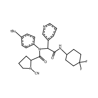 CC(C)(C)c1ccc(N(C(=O)C2CCCN2C#N)C(C(=O)NC2CCC(F)(F)CC2)c2cccnc2)cc1